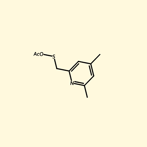 CC(=O)OSCc1cc(C)cc(C)n1